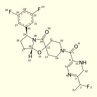 CC(F)C1=NC=C(C(=O)N2CCC3(CC2)O[C@@H]2CC[C@@H](c4cc(F)cc(F)c4)N2C3=O)NC1